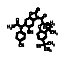 CCCCC(Oc1ccc(C(C)(C)CC)cc1C(C)(C)CC)C(=O)n1c(=O)oc2cc(N(C(N)=O)c3ccc(C#N)cc3)c(O)cc21